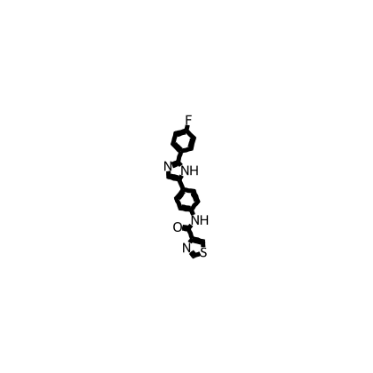 O=C(Nc1ccc(-c2cnc(-c3ccc(F)cc3)[nH]2)cc1)c1cscn1